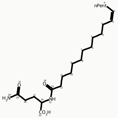 CCCCC/C=C\CCCCCCCCCCC(=O)NC(CCC(N)=O)C(=O)O